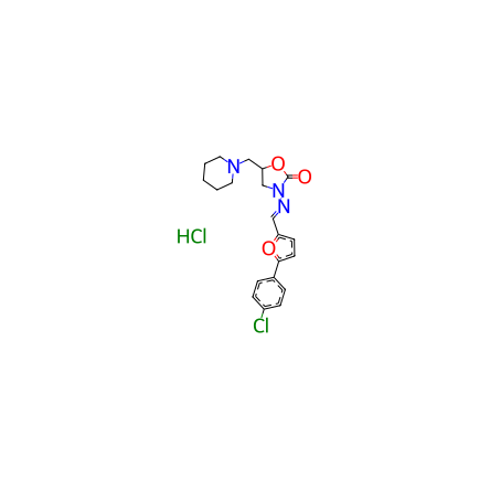 Cl.O=C1OC(CN2CCCCC2)CN1N=Cc1ccc(-c2ccc(Cl)cc2)o1